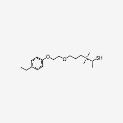 CCc1ccc(OCCOCCCS(C)(C)C(C)S)cc1